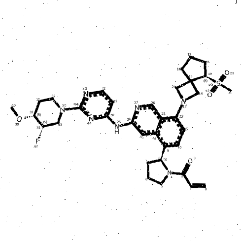 C=CC(=O)N1CCC[C@H]1c1ccc(N2CC3(CCC[C@H]3S(C)(=O)=O)C2)c2cnc(Nc3ccnc(N4CC[C@@H](OC)[C@@H](F)C4)n3)cc12